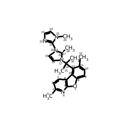 Cc1ccc2c(n1)oc1ccc(C)c(C(C)(C)N3C=CN(c4nccn4C)[C@H]3C)c12